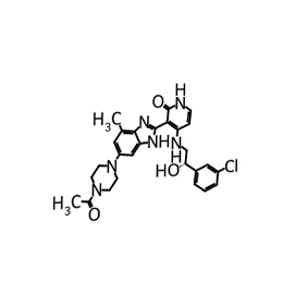 CC(=O)N1CCN(c2cc(C)c3nc(-c4c(NC[C@@H](O)c5cccc(Cl)c5)cc[nH]c4=O)[nH]c3c2)CC1